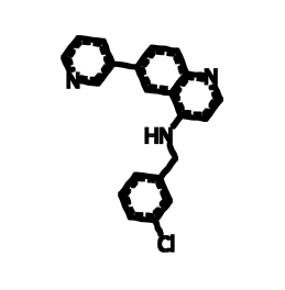 Clc1cccc(CNc2ccnc3ccc(-c4cccnc4)cc23)c1